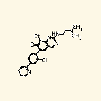 CCn1c(=O)c(-c2ccc(-c3ccccn3)cc2Cl)cc2cnc(NCCN(C)C)nc21